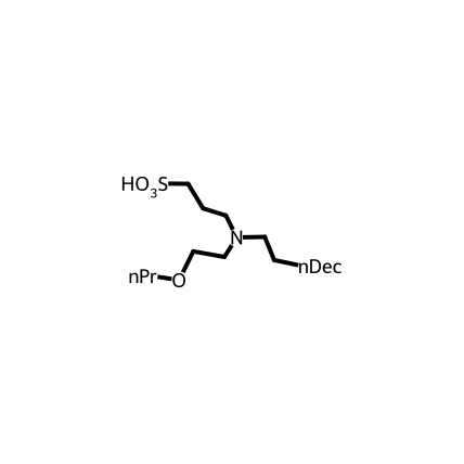 CCCCCCCCCCCCN(CCCS(=O)(=O)O)CCOCCC